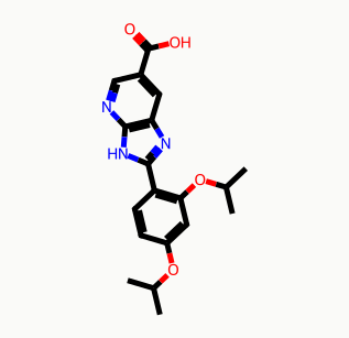 CC(C)Oc1ccc(-c2nc3cc(C(=O)O)cnc3[nH]2)c(OC(C)C)c1